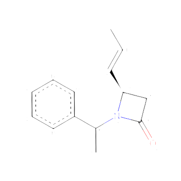 CC=C[C@H]1CC(=O)N1C(C)c1ccccc1